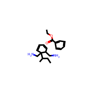 CCC(C)C1(CN)C=CC=CC1CN.CCOC(=O)c1ccccc1